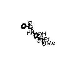 CCC(COC)OC(=O)c1ccc(NSc2cc(-c3ccccc3)c(Cl)s2)cc1O